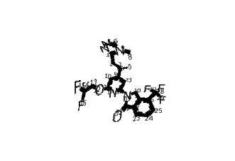 C[C@H](Cc1nncn1C)c1cc(OCC(F)F)nc(N2Cc3c(cccc3C(F)(F)F)C2=O)c1